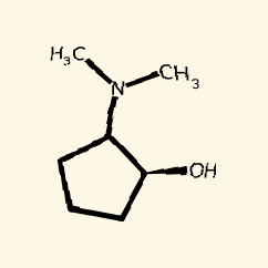 CN(C)C1CCC[C@@H]1O